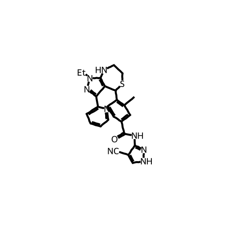 CCn1nc(-c2ccccn2)c2c1NCCSC2c1ccc(C(=O)Nc2n[nH]cc2C#N)cc1C